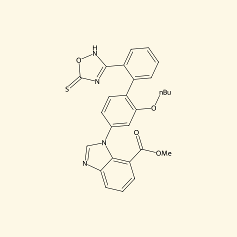 CCCCOc1cc(-n2cnc3cccc(C(=O)OC)c32)ccc1-c1ccccc1-c1nc(=S)o[nH]1